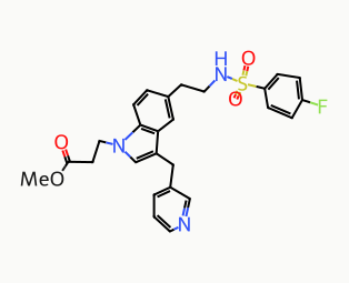 COC(=O)CCn1cc(Cc2cccnc2)c2cc(CCNS(=O)(=O)c3ccc(F)cc3)ccc21